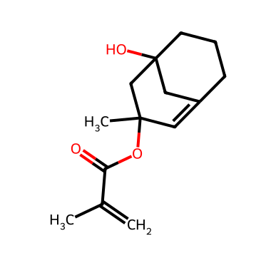 C=C(C)C(=O)OC1(C)C=C2CCCC(O)(C2)C1